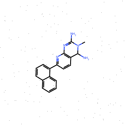 CN1C(N)=Nc2nc(-c3cccc4ccccc34)ccc2C1N